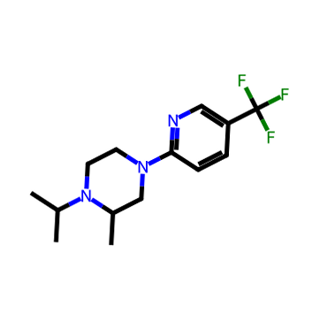 CC(C)N1CCN(c2ccc(C(F)(F)F)cn2)CC1C